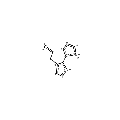 C=CCc1cc[nH]c1-c1ccc[nH]1